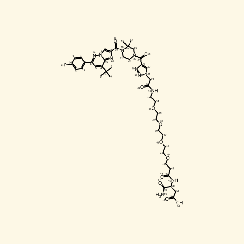 CC(C)(C)c1cc(-c2ccc(F)cc2)nn2cc(C(=O)N3CCN(C(=O)c4cn(CC(=O)NCCOCCOCCOCCOCCC(=O)N[C@@H](CC(=O)O)C(N)=O)nn4)CC3(C)C)nc12